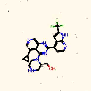 OC[C@H]1CNCCN1c1nc(-c2ccnc3[nH]c(C(F)(F)F)cc23)nc2cncc(C3CC3)c12